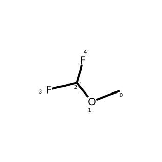 CO[C](F)F